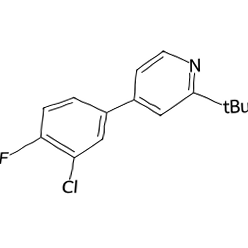 CC(C)(C)c1cc(-c2ccc(F)c(Cl)c2)ccn1